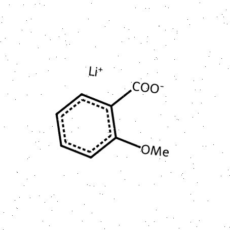 COc1ccccc1C(=O)[O-].[Li+]